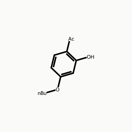 CCCCOc1ccc(C(C)=O)c(O)c1